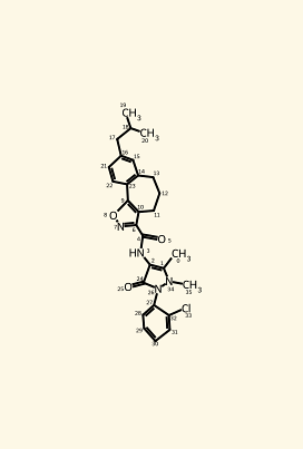 Cc1c(NC(=O)c2noc3c2CCCc2cc(CC(C)C)ccc2-3)c(=O)n(-c2ccccc2Cl)n1C